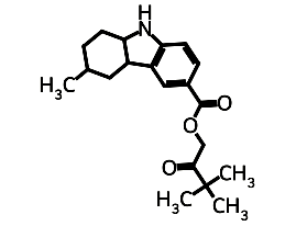 CC1CCC2Nc3ccc(C(=O)OCC(=O)C(C)(C)C)cc3C2C1